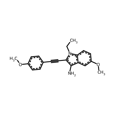 CCn1c(C#Cc2ccc(OC)cc2)c(N)c2cc(OC)ccc21